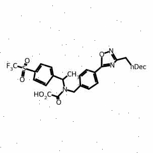 CCCCCCCCCCCc1noc(-c2ccc(CN(C(=O)C(=O)O)C(C)c3ccc(S(=O)(=O)C(F)(F)F)cc3)cc2)n1